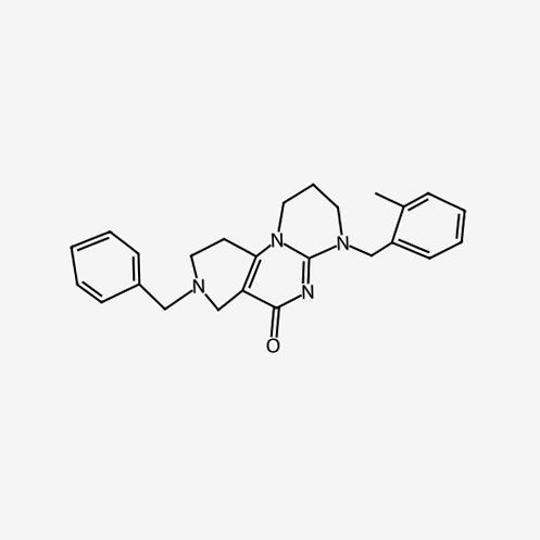 Cc1ccccc1CN1CCCn2c1nc(=O)c1c2CCN(Cc2ccccc2)C1